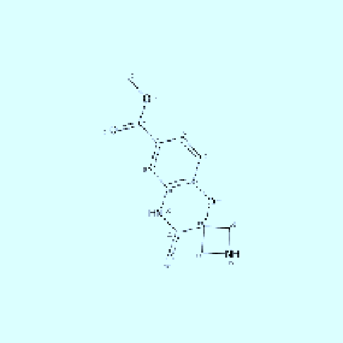 COC(=O)c1ccc2c(c1)NC(=O)C1(CNC1)O2